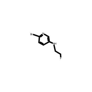 FCCNc1ccc(Br)nc1